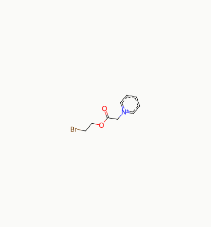 O=C(C[n+]1ccccc1)OCCBr